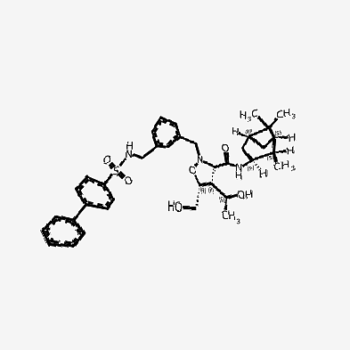 C[C@@H]1[C@@H](NC(=O)C2[C@H]([C@H](C)O)[C@H](CO)ON2Cc2cccc(CNS(=O)(=O)c3ccc(-c4ccccc4)cc3)c2)C[C@H]2C[C@@H]1C2(C)C